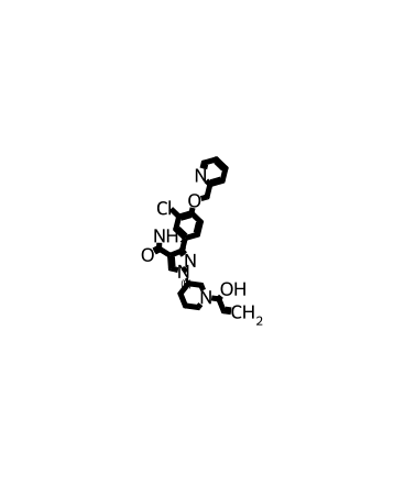 C=CC(O)N1CCC[C@@H](n2cc(C(N)=O)c(-c3ccc(OCc4ccccn4)c(Cl)c3)n2)C1